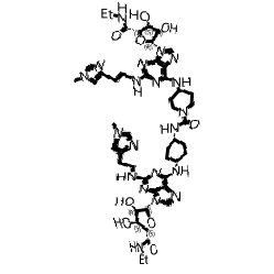 CCNC(=O)[C@H]1O[C@@H](n2cnc3c(NC4CCN(C(=O)N[C@H]5CC[C@H](Nc6nc(NCCc7cn(C)cn7)nc7c6ncn7[C@@H]6O[C@H](C(=O)NCC)[C@@H](O)[C@H]6O)CC5)CC4)nc(NCCc4cn(C)cn4)nc32)[C@H](O)[C@@H]1O